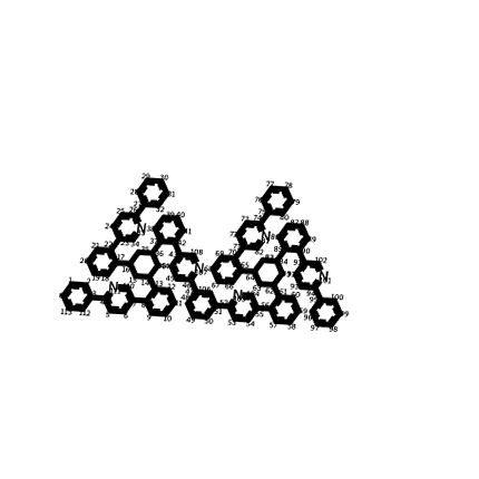 c1ccc(-c2ccc(-c3ccccc3C3CC(c4ccccc4-c4ccc(-c5ccccc5)nc4)CC(c4ccccc4-c4ccc(-c5cccc(-c6ccc(-c7ccccc7C7CC(c8ccccc8-c8ccc(-c9ccccc9)nc8)CC(c8ccccc8-c8ccc(-c9ccccc9)nc8)C7)cn6)c5)nc4)C3)cn2)cc1